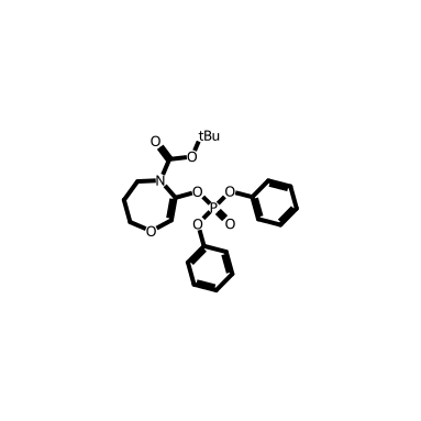 CC(C)(C)OC(=O)N1CCCOC=C1OP(=O)(Oc1ccccc1)Oc1ccccc1